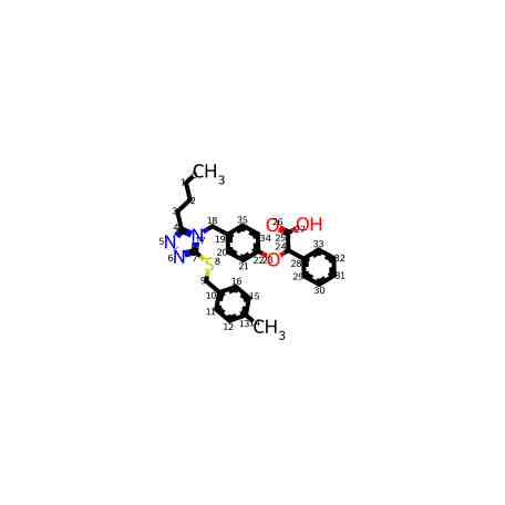 CCCCc1nnc(SCc2ccc(C)cc2)n1Cc1ccc(OC(C(=O)O)c2ccccc2)cc1